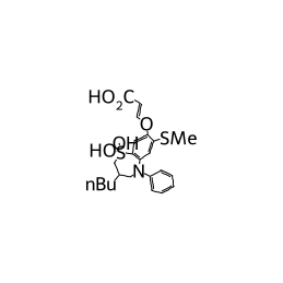 CCCCC1CN(c2ccccc2)c2cc(SC)c(O/C=C/C(=O)O)cc2S(O)(O)C1